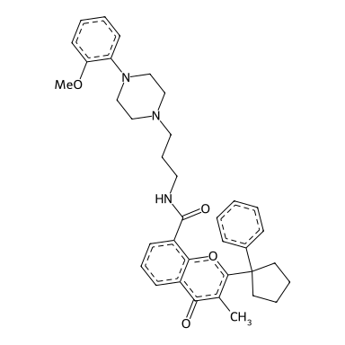 COc1ccccc1N1CCN(CCCNC(=O)c2cccc3c(=O)c(C)c(C4(c5ccccc5)CCCC4)oc23)CC1